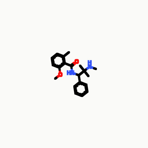 CNC(C)(C)C(NC(=O)c1c(C)cccc1OC)c1ccccc1